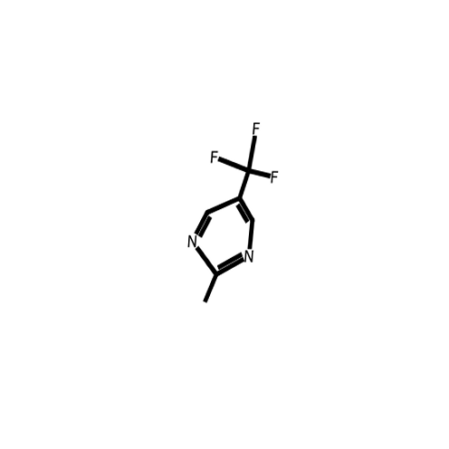 Cc1ncc(C(F)(F)F)cn1